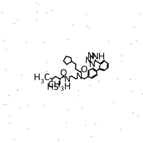 CC(C)CC(CS)C(=O)NCCN(Cc1ccc(-c2ccccc2-c2nnn[nH]2)cc1)C(=O)CCC1CCCC1